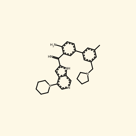 Cc1cc(CN2CCCC2)cc(-c2ccc(N)c(C(=N)c3cc4c(N5CCCCC5)cncc4[nH]3)c2)c1